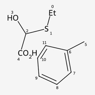 CCSC(O)C(=O)O.Cc1ccccc1